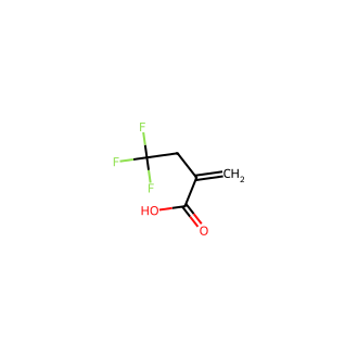 C=C(CC(F)(F)F)C(=O)O